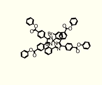 O=C(Oc1ccccc1)c1ccc(C2=NC(c3ccccc3Br)(n3c(-c4ccccc4Br)nc(-c4ccc(C(=O)Oc5ccccc5)cc4)c3-c3ccc(C(=O)Oc4ccccc4)cc3)N=C2c2ccc(C(=O)Oc3ccccc3)cc2)cc1